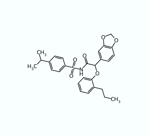 CCCc1ccccc1OC(C(=O)NS(=O)(=O)c1ccc(C(C)C)cc1)c1ccc2c(c1)OCO2